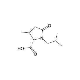 CC(C)CN1C(=O)CC(C)[C@H]1C(=O)O